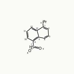 CC(C)c1cccc2c([SH](=O)=O)cccc12